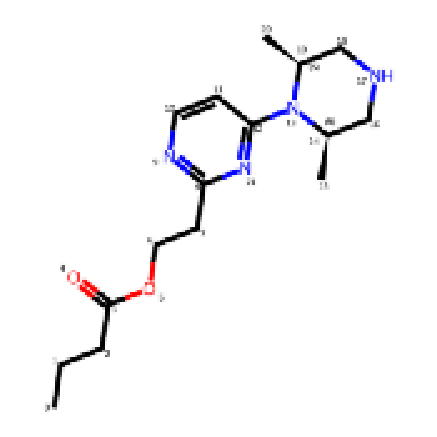 CCCC(=O)OCCc1nccc(N2[C@H](C)CNC[C@@H]2C)n1